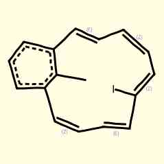 Cc1c2cccc1/C=C/C=C\C=C(I)\C=C\C=C/2